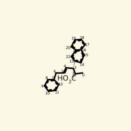 C[C@@H](C(=O)O)[C@H](/C=C/Cc1ccccc1)c1ccc2ccccc2c1